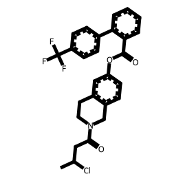 CC(Cl)CC(=O)N1CCc2cc(OC(=O)c3ccccc3-c3ccc(C(F)(F)F)cc3)ccc2C1